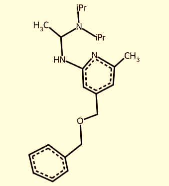 Cc1cc(COCc2ccccc2)cc(NC(C)N(C(C)C)C(C)C)n1